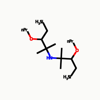 CCCOC(C[SiH3])C(C)(C)NC(C)(C)C(C[SiH3])OCCC